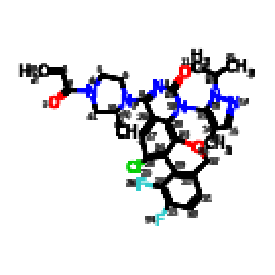 C=CC(=O)N1CCN(c2nc(=O)n(-c3c(C)cnn3C(C)C)c3c4c(c(Cl)cc23)-c2c(ccc(F)c2F)CO4)[C@@H](C)C1